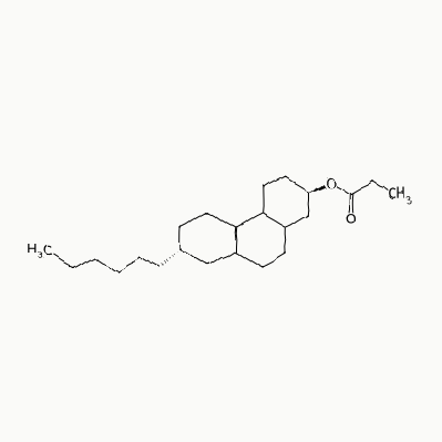 CCCCCC[C@@H]1CCC2C(CCC3C[C@H](OC(=O)CC)CCC32)C1